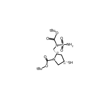 CC(C)(C)OC(=O)N1C[C@@H](S)C[C@H]1CN(C(=O)OC(C)(C)C)S(N)(=O)=O